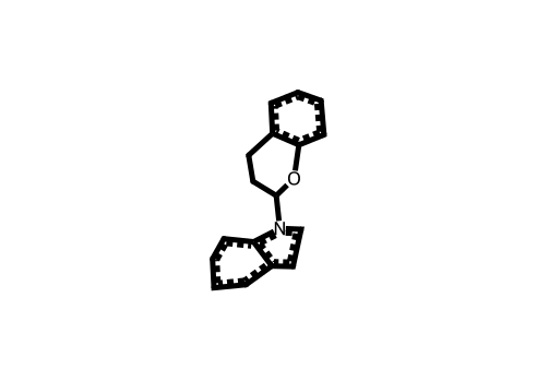 c1ccc2c(c1)CCC(n1ccc3ccccc31)O2